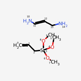 C=CC[Si](OC)(OC)OC.NC=CCN